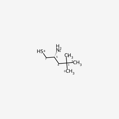 CC(C)(C)C[C@@H](N)CS